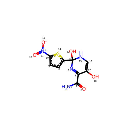 NC(=O)C1=NC(O)(c2ccc([N+](=O)[O-])s2)NC=C1O